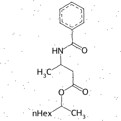 CCCCCCC(C)OC(=O)CC(C)NC(=O)c1ccccc1